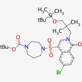 CC(C)(CO[Si](C)(C)C(C)(C)C)Cn1cc(S(=O)(=O)N2CCCN(C(=O)OC(C)(C)C)CC2)c2cc(Br)ccc2c1=O